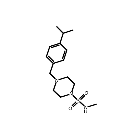 CNS(=O)(=O)N1CCN(Cc2ccc(C(C)C)cc2)CC1